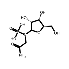 NC(=O)CN(C1O[C@H](CO)[C@@H](O)[C@H]1O)P(=O)(O)O